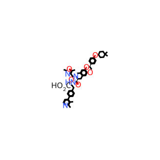 Cc1nc(C(=O)N2Cc3cc4c(cc3C[C@H]2C(=O)NC(Cc2ccc(-c3ccnc(C)c3C)cc2)C(=O)O)OC[C@H](c2ccc(OC3CCC(C)(C)CC3)cc2)O4)c(C)o1